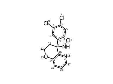 ClN[C@]1(c2ccc(Cl)c(Cl)c2)CCOc2cccnc21